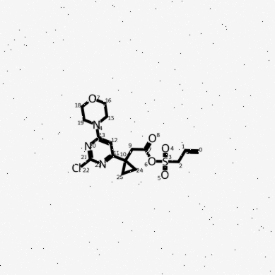 C=CCS(=O)(=O)OC(=O)CC1(c2cc(N3CCOCC3)nc(Cl)n2)CC1